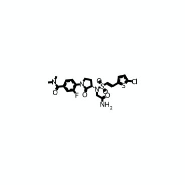 CN(C)C(=O)c1ccc(N2CC[C@H](N(CC(N)=O)S(=O)(=O)/C=C/c3ccc(Cl)s3)C2=O)c(F)c1